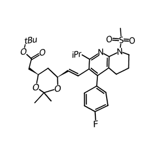 CC(C)c1nc2c(c(-c3ccc(F)cc3)c1/C=C/[C@@H]1C[C@H](CC(=O)OC(C)(C)C)OC(C)(C)O1)CCCN2S(C)(=O)=O